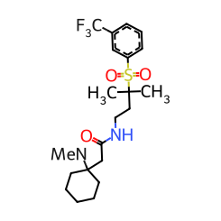 CNC1(CC(=O)NCCC(C)(C)S(=O)(=O)c2cccc(C(F)(F)F)c2)CCCCC1